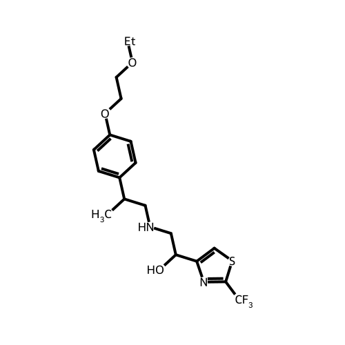 CCOCCOc1ccc(C(C)CNCC(O)c2csc(C(F)(F)F)n2)cc1